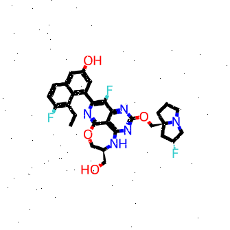 CCc1c(F)ccc2cc(O)cc(-c3nc4c5c(nc(OC[C@@]67CCCN6C[C@H](F)C7)nc5c3F)N[C@@H](CO)CO4)c12